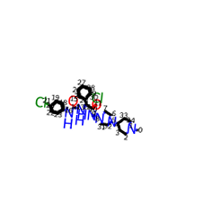 CN1CCC(N2CCN(NC(=O)C(NC(=O)Nc3ccc(Cl)cc3)c3ccccc3Cl)CC2)CC1